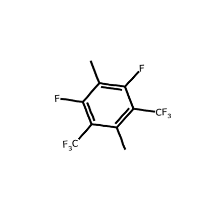 Cc1c(F)c(C(F)(F)F)c(C)c(C(F)(F)F)c1F